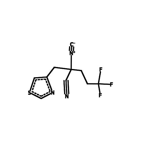 [C-]#[N+]C(C#N)(CCC(F)(F)F)Cc1cscn1